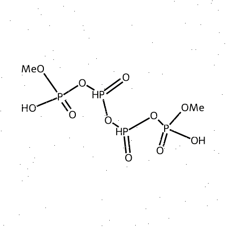 COP(=O)(O)O[PH](=O)O[PH](=O)OP(=O)(O)OC